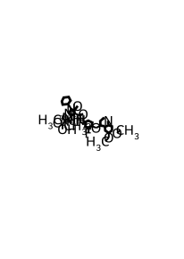 COc1cc2nccc(Oc3ccc(NC(=O)c4c(C)n(C[C@@H](C)[C@](C)(N)C(=O)O)n(-c5ccccc5)c4=O)cc3F)c2cc1OC